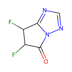 O=C1C(F)C(F)c2ncnn21